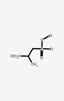 CCOC(=O)C(C)CP(=O)(CC)OCC